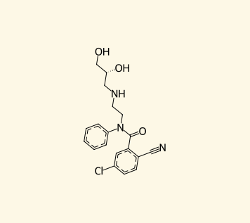 N#Cc1ccc(Cl)cc1C(=O)N(CCNC[C@@H](O)CO)c1ccccc1